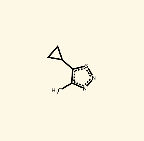 Cc1nnsc1C1CC1